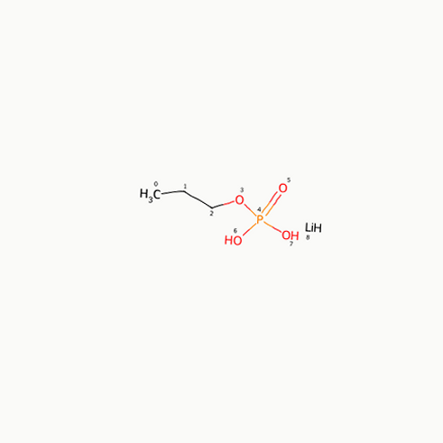 CCCOP(=O)(O)O.[LiH]